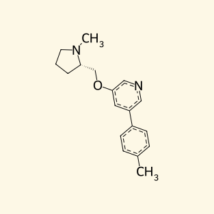 Cc1ccc(-c2cncc(OC[C@@H]3CCCN3C)c2)cc1